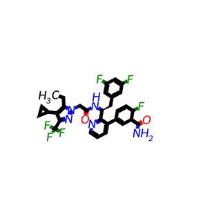 CCc1c(C2CC2)c(C(F)(F)F)nn1CC(=O)N[C@@H](Cc1cc(F)cc(F)c1)c1ncccc1C1=CC(C(N)=O)C(F)C=C1